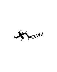 [CH]OCCC(C)(C)C